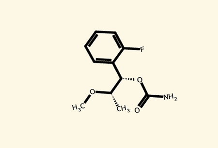 CO[C@@H](C)[C@@H](OC(N)=O)c1ccccc1F